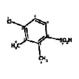 Cc1c(Cl)ccc(S(=O)(=O)O)c1C